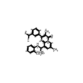 Cc1cc(C(C)Nc2ccccc2C(=O)O)c2nc(-c3cccc(C(F)F)c3)c(C)c(=O)n2c1